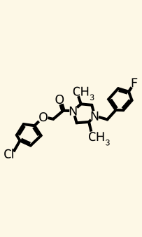 CC1CN(C(=O)COc2ccc(Cl)cc2)C(C)CN1Cc1ccc(F)cc1